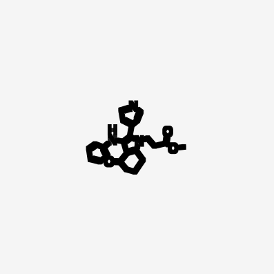 COC(=O)CCn1c2c(c(Nc3ccccc3)c1-c1ccncc1)C(=O)CCC2